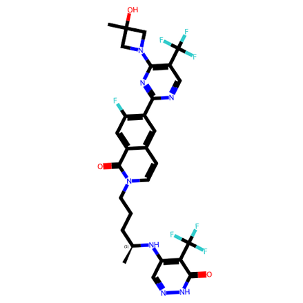 C[C@@H](CCCn1ccc2cc(-c3ncc(C(F)(F)F)c(N4CC(C)(O)C4)n3)c(F)cc2c1=O)Nc1cn[nH]c(=O)c1C(F)(F)F